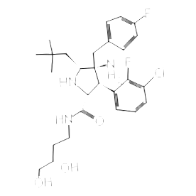 CC(C)(C)C[C@@H]1N[C@@H](C(=O)NCC[C@H](O)CO)[C@H](c2cccc(Cl)c2F)[C@@]1(N)Cc1ccc(F)cc1